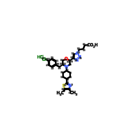 Cc1nc(C2CCC(N3C[C@H](c4cn(CCCC(=O)O)nn4)OC[C@@H]3Cc3ccc(Cl)cc3)CC2)sc1C.Cl